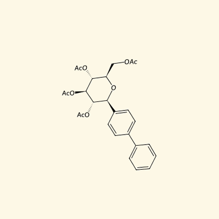 CC(=O)OC[C@H]1O[C@@H](c2ccc(-c3ccccc3)cc2)[C@H](OC(C)=O)[C@@H](OC(C)=O)[C@@H]1OC(C)=O